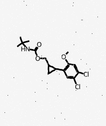 COc1cc(Cl)c(Cl)cc1C1CC1COC(=O)NC(C)(C)C